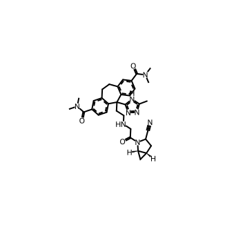 Cc1nnc(C2(CCNCC(=O)N3C(C#N)C[C@@H]4C[C@@H]43)c3ccc(C(=O)N(C)C)cc3CCc3cc(C(=O)N(C)C)ccc32)[nH]1